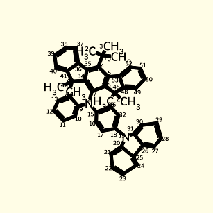 CC(C)(C)c1c2c(c(N(c3ccccc3)c3ccc(-n4c5ccccc5c5ccccc54)cc3)c3c1-c1ccccc1C3(C)C)C(C)(C)c1ccccc1-2